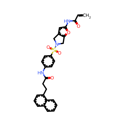 C=CC(=O)Nc1cc2c(o1)CN(S(=O)(=O)c1ccc(NC(=O)CCc3cccc4ccccc34)cc1)C2